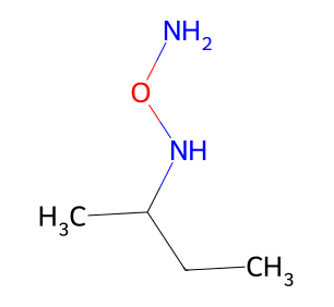 CCC(C)NON